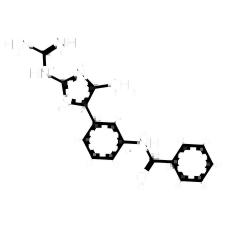 Cc1nc(NC(=N)N)sc1-c1cccc(NC(=O)c2[c]cccc2)c1